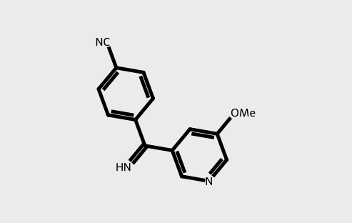 COc1cncc(C(=N)c2ccc(C#N)cc2)c1